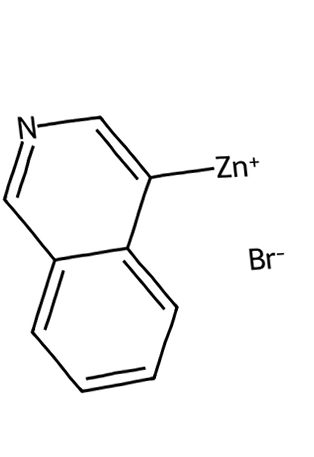 [Br-].[Zn+][c]1cncc2ccccc12